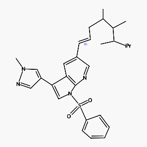 CC(C)C(C)C(C)C(C)C/C=C/c1cnc2c(c1)c(-c1cnn(C)c1)cn2S(=O)(=O)c1ccccc1